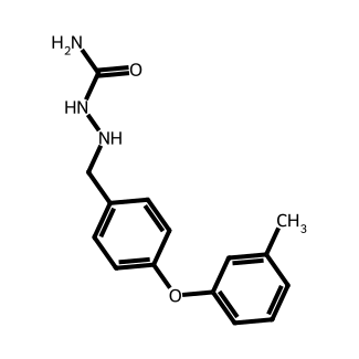 Cc1cccc(Oc2ccc(CNNC(N)=O)cc2)c1